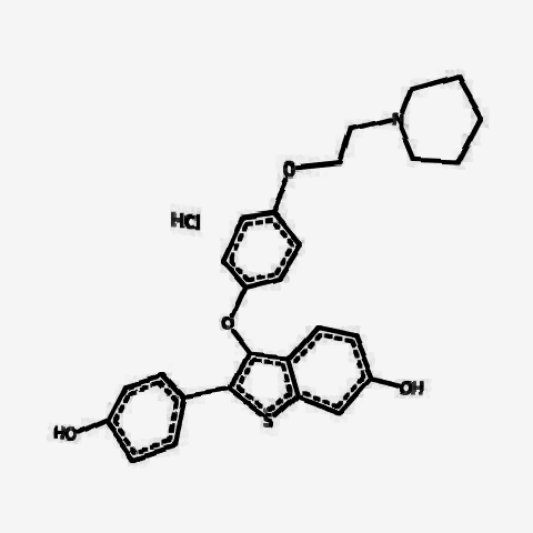 Cl.Oc1ccc(-c2sc3cc(O)ccc3c2Oc2ccc(OCCN3CCCCC3)cc2)cc1